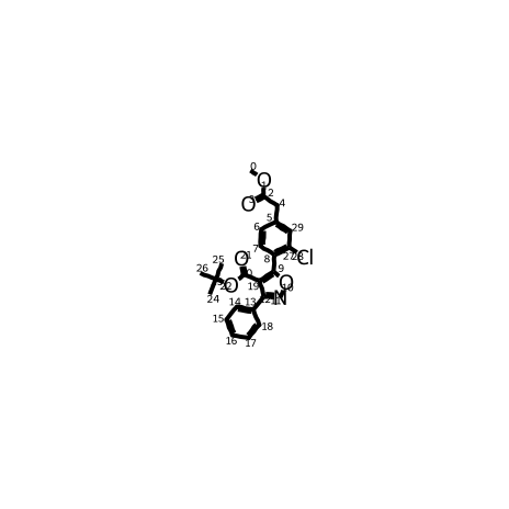 COC(=O)Cc1ccc(-c2onc(-c3ccccc3)c2C(=O)OC(C)(C)C)c(Cl)c1